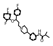 CC(C)C(=O)Nc1cccc(C2CCN(CCC(Oc3cc(F)ccc3F)c3ccc(F)cc3)CC2)c1